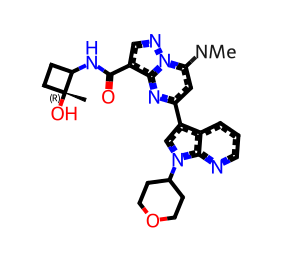 CNc1cc(-c2cn(C3CCOCC3)c3ncccc23)nc2c(C(=O)NC3CC[C@@]3(C)O)cnn12